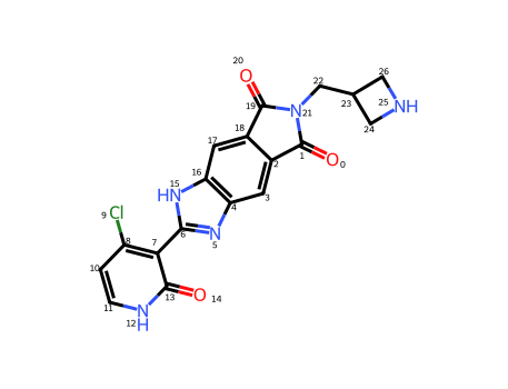 O=C1c2cc3nc(-c4c(Cl)cc[nH]c4=O)[nH]c3cc2C(=O)N1CC1CNC1